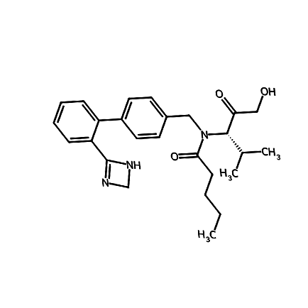 CCCCC(=O)N(Cc1ccc(-c2ccccc2C2=NCN2)cc1)[C@H](C(=O)CO)C(C)C